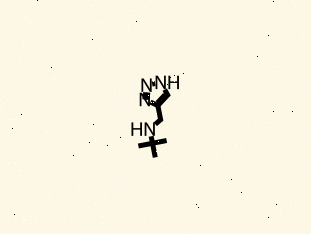 CC(C)(C)NCc1c[nH]nn1